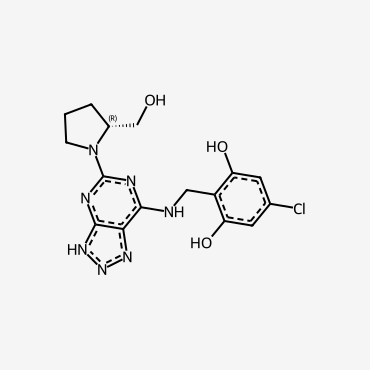 OC[C@H]1CCCN1c1nc(NCc2c(O)cc(Cl)cc2O)c2nn[nH]c2n1